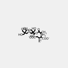 C=CC(=O)OC.NC(CCC(=O)[O-])C(=O)[O-].OCC(CO)(CO)COCC(CO)(CO)CO.[K+].[K+]